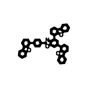 c1ccc2c(c1)oc1c(-c3ccc(-c4nc5c(-c6cccc7c6oc6ccccc67)cc(-c6cccc7c6oc6ccccc67)cc5o4)cc3)cccc12